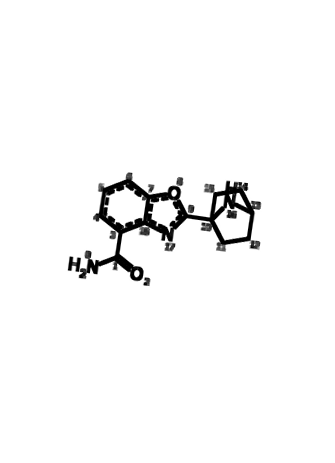 NC(=O)c1cccc2oc(C34CCC(CC3)N4)nc12